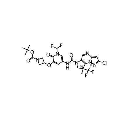 CC(C)(C)OC(=O)N1CC(Oc2cc(NC(=O)N3C[C@@](C)(C(F)(F)F)c4c3cnc3cc(Cl)nn43)cn(C(F)F)c2=O)C1